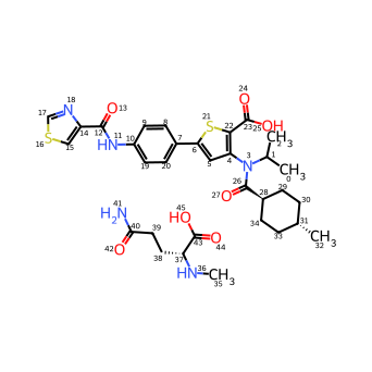 CC(C)N(c1cc(-c2ccc(NC(=O)c3cscn3)cc2)sc1C(=O)O)C(=O)[C@H]1CC[C@H](C)CC1.CN[C@H](CCC(N)=O)C(=O)O